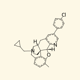 Cc1ccc2c3c1O[C@H]1c4ncc(-c5ccc(Cl)cc5)cc4C[C@H]4C(C2)N(CC2CC2)CC[C@]314